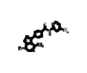 Nc1ncc(Cl)n2cnc(-c3ccc(C(=O)Nc4cc(C(F)(F)F)ccn4)cc3)c12